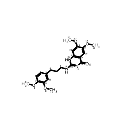 COc1ccc(CCCNc2nc(=O)c3cc(OC)c(OC)cc3[nH]2)cc1OC